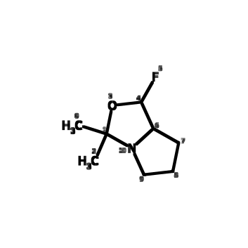 CC1(C)OC(F)C2CCCN21